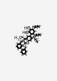 CC[C@H]([C@@H]1CCC(N=[N+]=[N-])C([C@@H]2C(N=[N+]=[N-])CC(N=[N+]=[N-])[C@H](O)[C@H]2O)C1)N(Cc1ccccc1)C(=O)OCc1ccccc1